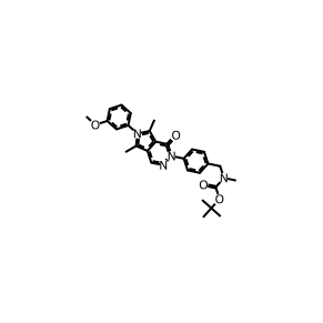 COc1cccc(-n2c(C)c3cnn(-c4ccc(CN(C)C(=O)OC(C)(C)C)cc4)c(=O)c3c2C)c1